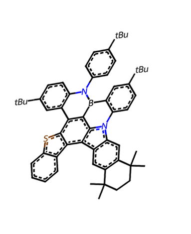 CC(C)(C)c1ccc(N2B3c4cc(C(C)(C)C)ccc4-n4c5cc6c(cc5c5c7c(sc8ccccc87)c(c3c54)-c3cc(C(C)(C)C)ccc32)C(C)(C)CCC6(C)C)cc1